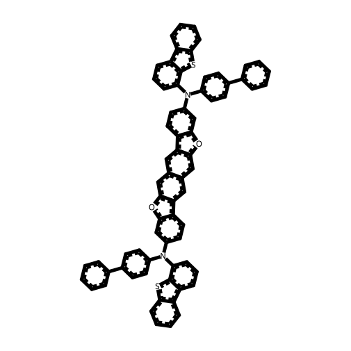 c1ccc(-c2ccc(N(c3ccc4c(c3)oc3cc5cc6c(cc5cc34)oc3cc(N(c4ccc(-c5ccccc5)cc4)c4cccc5c4sc4ccccc45)ccc36)c3cccc4c3sc3ccccc34)cc2)cc1